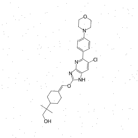 CC(C)(CO)C1CCC(=COc2nc3nc(-c4ccc(N5CCOCC5)cc4)c(Cl)cc3[nH]2)CC1